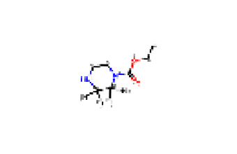 [2H]C1([2H])NCCN(C(=O)OCC)C1([2H])[2H]